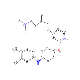 CCCN(CC)CCC(C)CCc1ccnc(O[C@H]2CC[C@H](Nc3ccc([N+](=O)[O-])c(C(F)(F)F)c3)CC2)c1